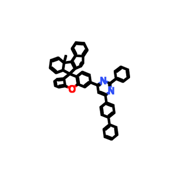 CC12C=CC=CC1C1(c3ccccc3Oc3cc(-c4cc(-c5ccc(-c6ccccc6)cc5)nc(-c5ccccc5)n4)ccc31)c1ccc3ccccc3c12